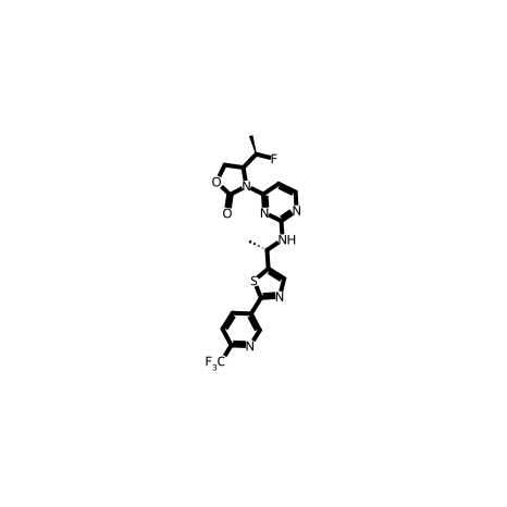 C[C@H](Nc1nccc(N2C(=O)OCC2[C@@H](C)F)n1)c1cnc(-c2ccc(C(F)(F)F)nc2)s1